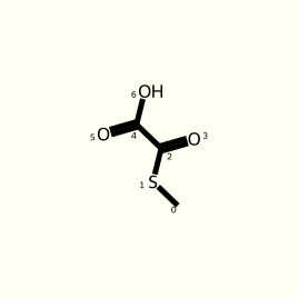 CSC(=O)C(=O)O